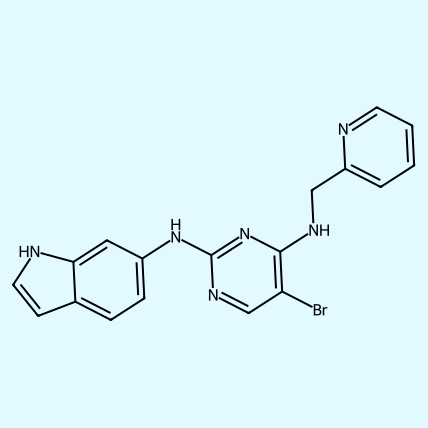 Brc1cnc(Nc2ccc3cc[nH]c3c2)nc1NCc1ccccn1